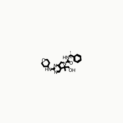 C[C@@H](NC(=O)N1Cc2nc(NC3CCOCC3)ncc2C1(C)CO)c1ccccc1